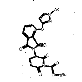 CC(=O)n1ccc(Oc2cccc3c2C(=O)N(C2CCC(=O)N(C(=O)OC(C)(C)C)C2=O)C3=O)n1